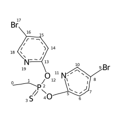 CCP(=S)(Oc1ccc(Br)cn1)Oc1ccc(Br)cn1